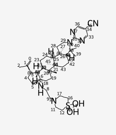 C=C(C)[C@@H]1CC[C@]2(NCCN3CCS(O)(O)CC3)CC[C@]3(C)[C@H](CC[C@@H]4[C@@]5(C)CCN(c6ncc(C#N)cn6)C(C)(C)[C@@H]5CC[C@]43C)[C@@H]12